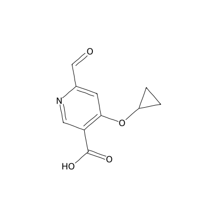 O=Cc1cc(OC2CC2)c(C(=O)O)cn1